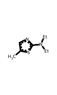 CCN(CC)c1ncc(C)s1